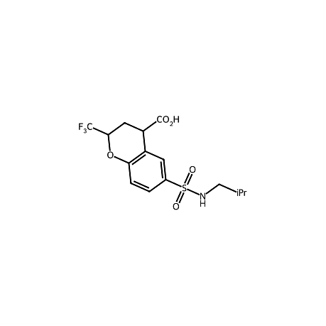 CC(C)CNS(=O)(=O)c1ccc2c(c1)C(C(=O)O)CC(C(F)(F)F)O2